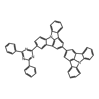 c1ccc(-c2nc(-c3ccccc3)nc(-c3ccc4c(c3)c3cc(-c5cc6c7ccccc7n7c8ccccc8c(c5)c67)cc5c6ccccc6n4c53)n2)cc1